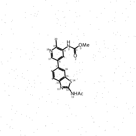 COC(=O)Nc1cc(-c2ccc3nc(NC(C)=O)sc3c2)cnc1C